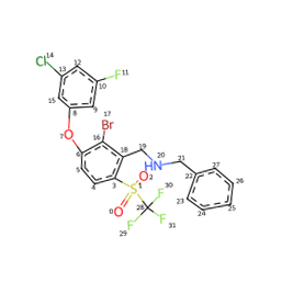 O=S(=O)(c1ccc(Oc2cc(F)cc(Cl)c2)c(Br)c1CNCc1ccccc1)C(F)(F)F